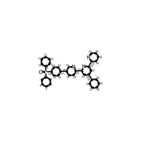 O=P(c1ccccc1)(c1ccccc1)c1ccc(-c2ccc(-c3cc(-c4ccccc4)cc(-c4ccccn4)n3)nc2)cc1